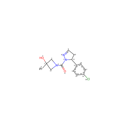 CC(C)C1(O)CN(C(=O)N2N=CCC2c2ccc(Cl)cc2)C1